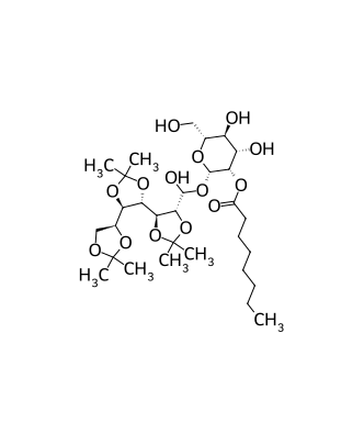 CCCCCCCC(=O)O[C@@H]1[C@H](OC(O)[C@@H]2OC(C)(C)O[C@H]2[C@H]2OC(C)(C)O[C@@H]2[C@@H]2COC(C)(C)O2)O[C@H](CO)[C@@H](O)[C@@H]1O